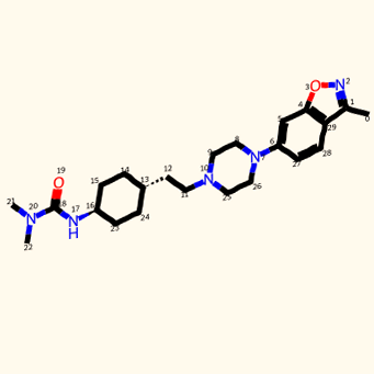 Cc1noc2cc(N3CCN(CC[C@H]4CC[C@H](NC(=O)N(C)C)CC4)CC3)ccc12